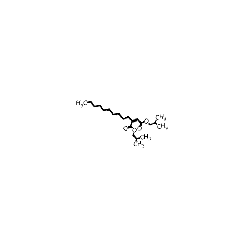 CCCCCCCCCCC(=CC(=O)OCC(C)C)C(=O)OCC(C)C